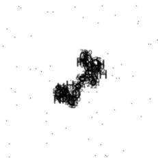 C[C@@H](C(=O)N[C@H]1CCS[C@H]2CC(C)(C)[C@@H](C(=O)N[C@H]3c4ccccc4C[C@H]3OCc3ccc(-c4ccc(CO[C@@H]5Cc6ccccc6[C@@H]5NC(=O)[C@H]5N6C(=O)[C@@H](N)CCS[C@H]6CC5(C)C)cc4)cc3)N2C1=O)N(C)C(=O)OC(C)(C)C